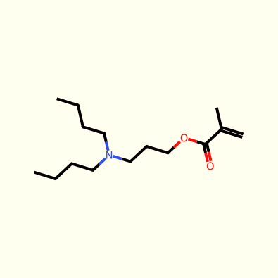 C=C(C)C(=O)OCCCN(CCCC)CCCC